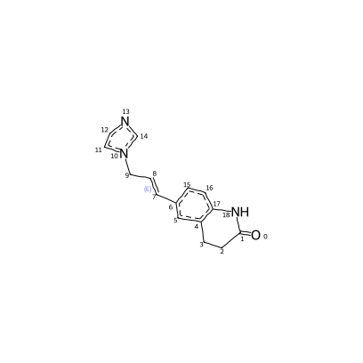 O=C1CCc2cc(/C=C/Cn3ccnc3)ccc2N1